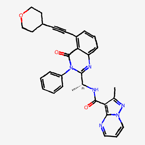 Cc1nn2cccnc2c1C(=O)N[C@H](C)c1nc2cccc(C#CC3CCOCC3)c2c(=O)n1-c1ccccc1